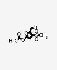 CC(=O)Oc1cc(S(C)(=O)=O)c(C=O)o1